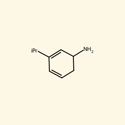 CC(C)C1=CC(N)CC=C1